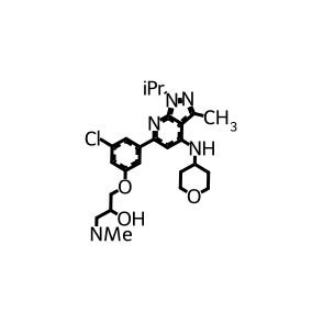 CNCC(O)COc1cc(Cl)cc(-c2cc(NC3CCOCC3)c3c(C)nn(C(C)C)c3n2)c1